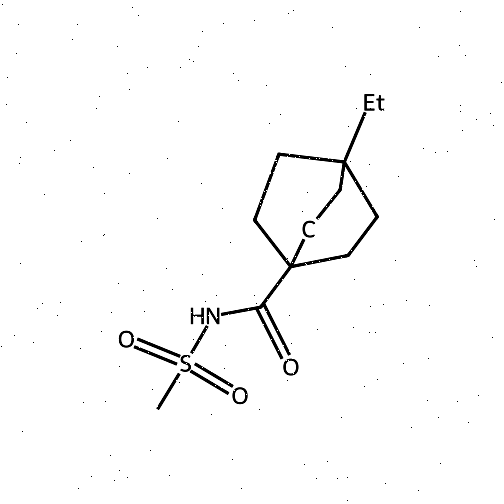 CCC12CCC(C(=O)NS(C)(=O)=O)(CC1)CC2